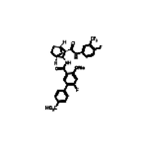 COc1cc(F)c(-c2ccc(C(=O)O)cc2)cc1C(=O)N[C@@H]1[C@H]2CC[C@H](C2)[C@@H]1C(=O)Nc1ccc(F)c(C(F)(F)F)c1